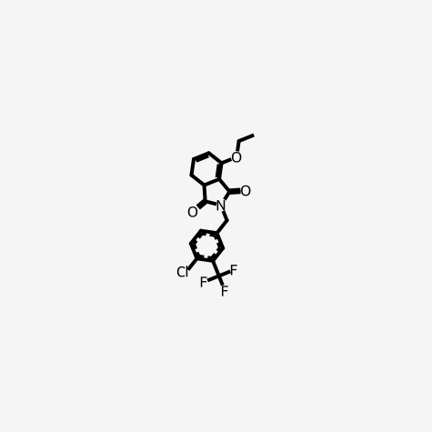 CCOC1=C2C(=O)N(Cc3ccc(Cl)c(C(F)(F)F)c3)C(=O)C2CC=C1